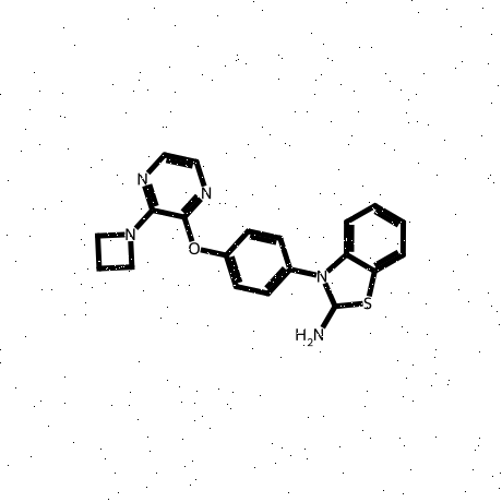 NC1Sc2ccccc2N1c1ccc(Oc2nccnc2N2CCC2)cc1